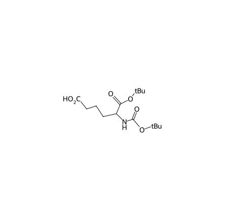 CC(C)(C)OC(=O)NC(CCCC(=O)O)C(=O)OC(C)(C)C